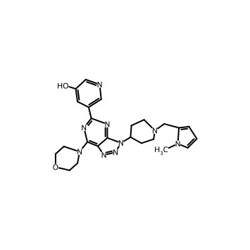 Cn1cccc1CN1CCC(n2nnc3c(N4CCOCC4)nc(-c4cncc(O)c4)nc32)CC1